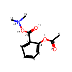 CC(=O)Oc1ccccc1C(=O)ON(C)C